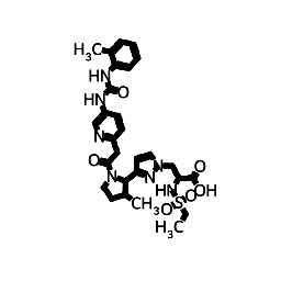 CCS(=O)(=O)NC(Cn1ccc(C2C(C)CCN2C(=O)Cc2ccc(NC(=O)Nc3ccccc3C)cn2)n1)C(=O)O